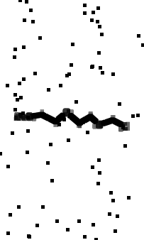 COCCOCCOCCl